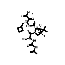 C=C(C)NC(=O)N[C@H](C(=O)N1C[C@H]2[C@@H]([C@H]1C(=O)N[C@H](CC1CCC1)C(=O)C(N)=O)C2(C)C)C(C)(C)C